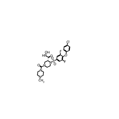 CN1CCN(C(=O)N2CCN(S(=O)(=O)c3cc(F)c(Oc4ccc(Cl)cc4)c(F)c3)[C@@H](C(=O)NO)C2)CC1